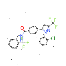 O=C(NCc1ccccc1C(F)(F)F)c1ccc(-c2cc(C(F)(F)F)nn2-c2ccccc2Cl)cc1